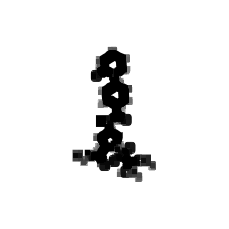 CC(C)S(=O)(=O)N1CC(NC(=O)c2ccc(-n3ccccc3=O)cc2)[CH]C1C(N)=O